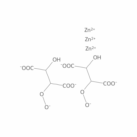 O=C([O-])C(O)C(O[O-])C(=O)[O-].O=C([O-])C(O)C(O[O-])C(=O)[O-].[Zn+2].[Zn+2].[Zn+2]